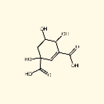 O=C(O)C1=CC(O)(C(=O)O)CC(O)C1O